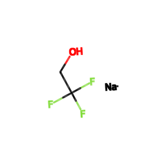 OCC(F)(F)F.[Na]